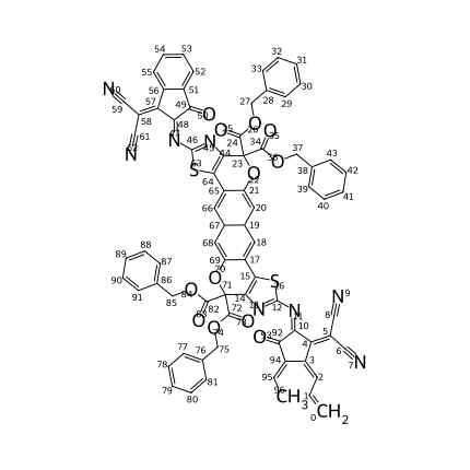 C=C/C=C1/C(=C(C#N)C#N)/C(=N/c2nc3c(s2)C2=CC4C=C5OC(C(=O)OCc6ccccc6)(C(=O)OCc6ccccc6)c6nc(/N=C7\C(=O)c8ccccc8C7=C(C#N)C#N)sc6C5=CC4C=C2OC3(C(=O)OCc2ccccc2)C(=O)OCc2ccccc2)C(=O)/C1=C/C